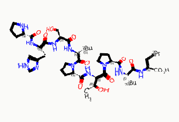 CC[C@H](C)[C@H](NC(=O)[C@@H]1CCCN1C(=O)[C@@H](NC(=O)[C@@H]1CCCN1C(=O)[C@@H](NC(=O)[C@H](CO)NC(=O)[C@H](Cc1c[nH]cn1)NC(=O)[C@@H]1CCCN1)[C@@H](C)CC)[C@@H](C)O)C(=O)N[C@@H](CC(C)C)C(=O)O